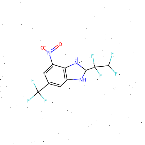 O=[N+]([O-])c1cc(C(F)(F)F)cc2c1NC(C(F)(F)C(F)F)N2